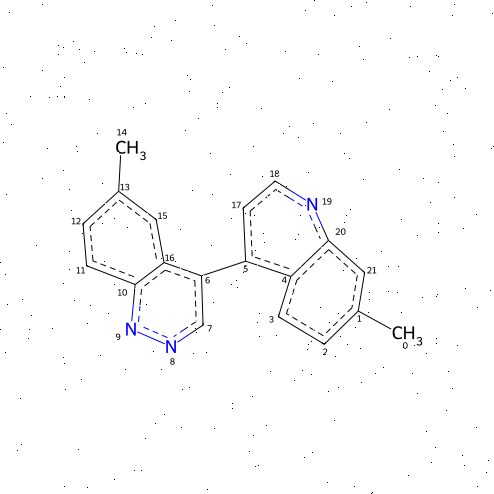 Cc1ccc2c(-c3cnnc4ccc(C)cc34)ccnc2c1